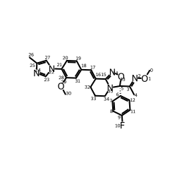 CO/N=C(\C)[C@]1(c2ccc(F)cc2)ON=C2/C(=C/c3ccc(-n4cnc(C)c4)c(OC)c3)CCCN21